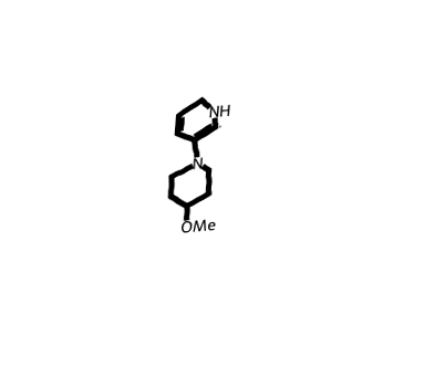 COC1CCN(C2=[C]NCC=C2)CC1